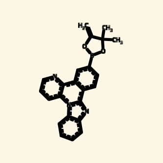 C=C1OB(c2ccc3c(c2)c2ncccc2n2c4ccccc4nc32)OC1(C)C